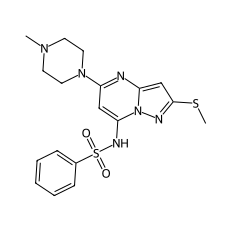 CSc1cc2nc(N3CCN(C)CC3)cc(NS(=O)(=O)c3ccccc3)n2n1